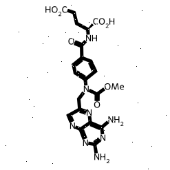 COC(=O)N(Cc1cnc2nc(N)nc(N)c2n1)c1ccc(C(=O)N[C@@H](CCC(=O)O)C(=O)O)cc1